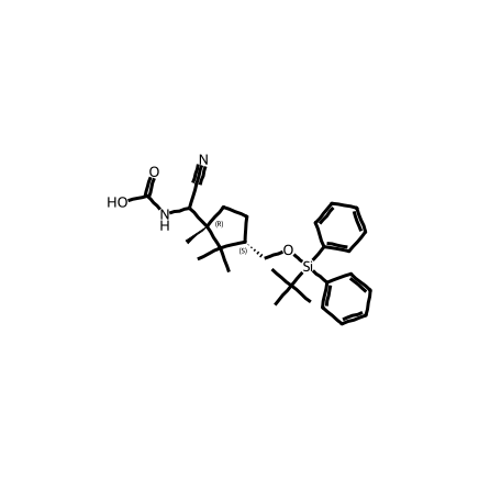 CC1(C)[C@@H](CO[Si](c2ccccc2)(c2ccccc2)C(C)(C)C)CC[C@@]1(C)C(C#N)NC(=O)O